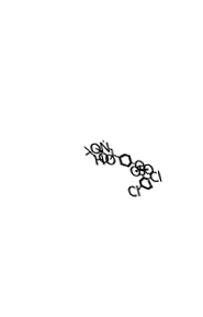 CN(CC(O)c1ccc(OS(=O)(=O)c2cc(Cl)ccc2Cl)cc1)C(=O)OC(C)(C)C